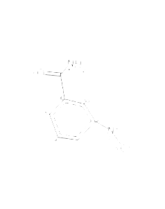 [CH2+][N-]c1cccc(C(N)=O)c1